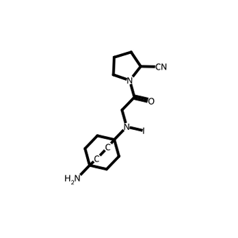 N#CC1CCCN1C(=O)CN(I)C12CCC(N)(CC1)CC2